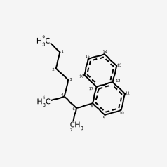 CCCCC(C)C(C)c1cccc2ccccc12